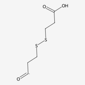 O=[C]CCSSCCC(=O)O